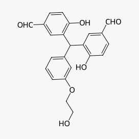 O=Cc1ccc(O)c(C(c2cccc(OCCO)c2)c2cc(C=O)ccc2O)c1